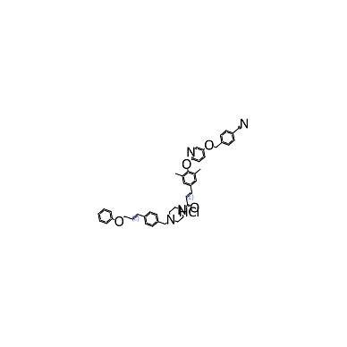 Cc1cc(/C=C/C(=O)N2CCN(Cc3ccc(/C=C/COc4ccccc4)cc3)CC2)cc(C)c1Oc1ccc(OCc2ccc(C#N)cc2)cn1.Cl